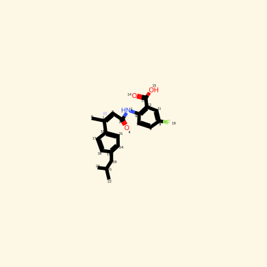 C/C(=C/C(=O)Nc1ccc(F)cc1C(=O)O)c1ccc(CC(C)C)cc1